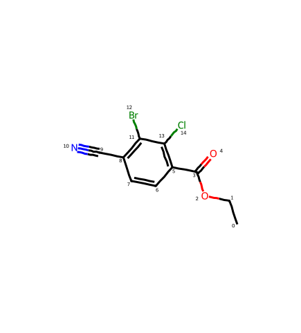 CCOC(=O)c1ccc(C#N)c(Br)c1Cl